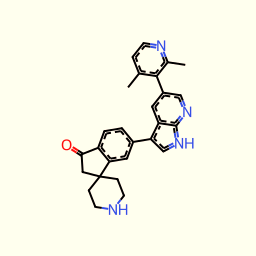 Cc1ccnc(C)c1-c1cnc2[nH]cc(-c3ccc4c(c3)C3(CCNCC3)CC4=O)c2c1